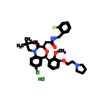 COc1c(OCCN2CCCC2)cccc1[C@H]1O[C@H](CC(=O)NCc2ccccc2F)C(=O)N(CC(C)(C)C)c2ccc(Cl)cc21.Cl